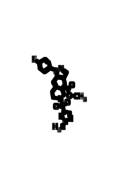 COC(=O)[C@]12Cc3cnn(-c4ccc(F)cc4)c3C=C1CCN(S(=O)(=O)c1cnn(C)n1)C2